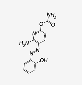 NC(=O)Oc1ccc(N=Nc2ccccc2O)c(N)n1